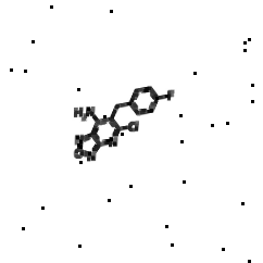 Nc1c(Cc2ccc(F)cc2)c(Cl)nc2nonc12